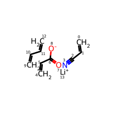 C=CC#N.C=CC(=O)[O-].C=CC=C.[Li+]